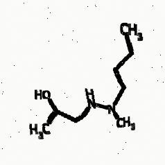 CCCCN(C)NCC(C)O